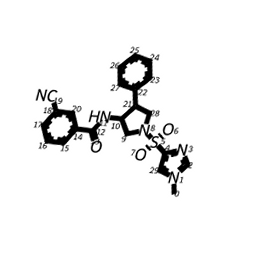 Cn1cnc(S(=O)(=O)N2CC(NC(=O)c3cccc(C#N)c3)C(c3ccccc3)C2)c1